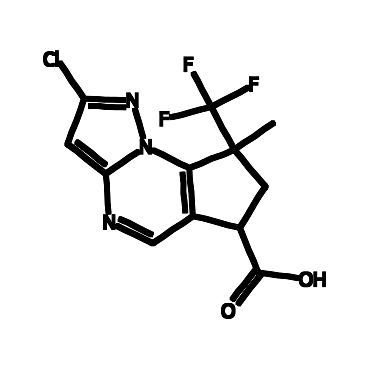 CC1(C(F)(F)F)CC(C(=O)O)c2cnc3cc(Cl)nn3c21